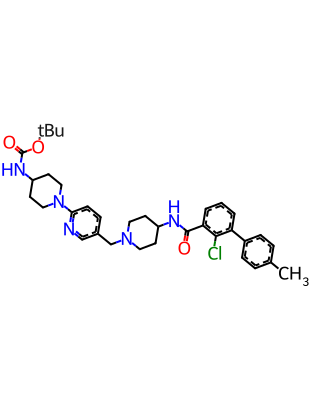 Cc1ccc(-c2cccc(C(=O)NC3CCN(Cc4ccc(N5CCC(NC(=O)OC(C)(C)C)CC5)nc4)CC3)c2Cl)cc1